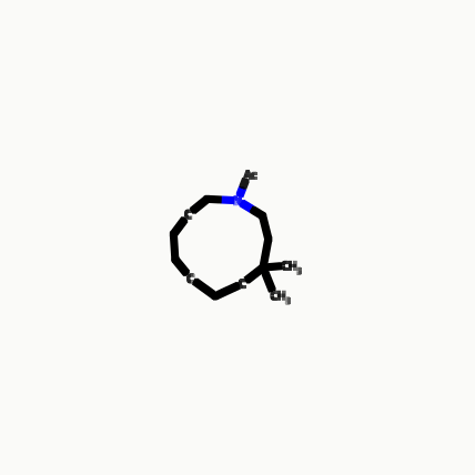 CC(=O)N1CCCCCCCC(C)(C)CC1